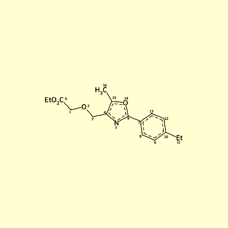 CCOC(=O)COCc1nc(-c2ccc(CC)cc2)oc1C